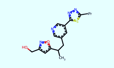 CC(C)c1nnc(-c2cncc(CC(C)c3cc(CO)no3)c2)s1